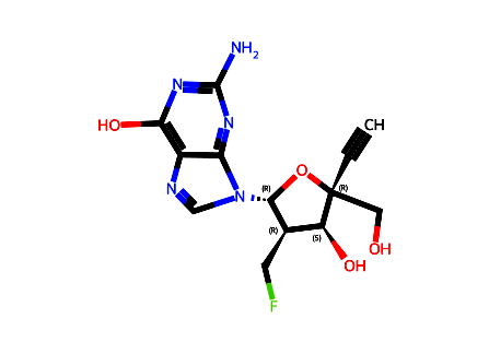 C#C[C@]1(CO)O[C@@H](n2cnc3c(O)nc(N)nc32)[C@H](CF)[C@@H]1O